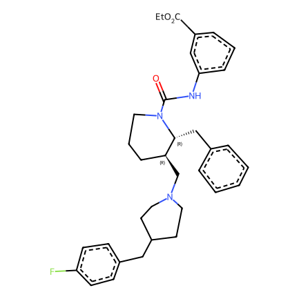 CCOC(=O)c1cccc(NC(=O)N2CCC[C@H](CN3CCC(Cc4ccc(F)cc4)CC3)[C@H]2Cc2ccccc2)c1